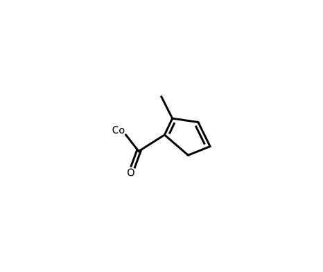 CC1=C([C](=O)[Co])CC=C1